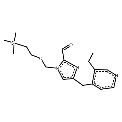 CCc1cnccc1Cc1cn(COCC[Si](C)(C)C)c(C=O)n1